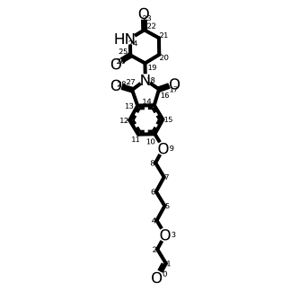 O=CCOCCCCCOc1ccc2c(c1)C(=O)N(C1CCC(=O)NC1=O)C2=O